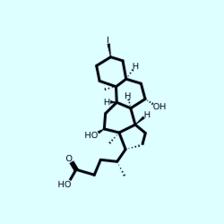 C[C@H](CCC(=O)O)[C@H]1CC[C@H]2[C@@H]3[C@@H](O)C[C@@H]4C[C@H](I)CC[C@]4(C)[C@H]3C[C@H](O)[C@]12C